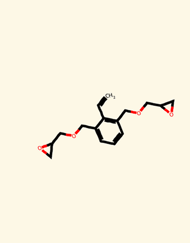 C=Cc1c(COCC2CO2)cccc1COCC1CO1